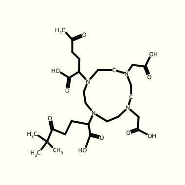 CC(=O)CCC(C(=O)O)N1CCN(CC(=O)O)CCN(CC(=O)O)CCN(C(CCC(=O)C(C)(C)C)C(=O)O)CC1